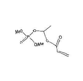 C=CC(=O)OC(C)OP(=O)(OC)OC